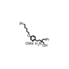 COc1cc(OCCCCCC(C)C)ccc1CC[C@@](N)(CO)CC(C)C